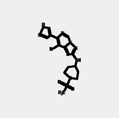 CS(=O)(=O)N1CCC(Nc2nc3c(Br)c(-c4cn[nH]c4)ncn3n2)CC1